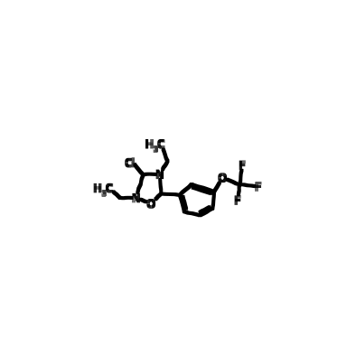 CCN1OC(c2cccc(OC(F)(F)F)c2)N(CC)C1Cl